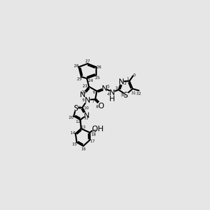 Cc1nc(N/N=C2\C(=O)N(c3nc(-c4ccccc4O)cs3)N=C2c2ccccc2)sc1C